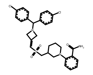 NC(=O)c1ccccc1N1CCCC(CS(=O)(=O)C=C2CN(C(c3ccc(Cl)cc3)c3ccc(Cl)cc3)C2)C1